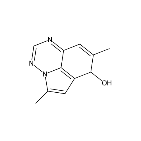 CC1=Cc2ncnn3c(C)cc(c23)C1O